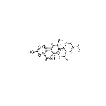 CCCc1c(N2CCN(CC)CC2)c(F)cc2c(=O)c(OC(=O)O)c[nH]c12